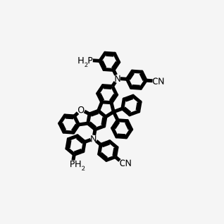 N#Cc1ccc(N(c2cccc(P)c2)c2ccc3c(c2)C(c2ccccc2)(c2ccccc2)c2cc(N(c4ccc(C#N)cc4)c4cccc(P)c4)c4c(oc5ccccc54)c2-3)cc1